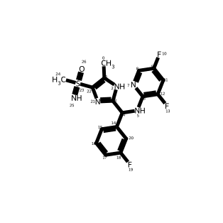 Cc1[nH]c(C(Nc2ncc(F)cc2F)c2cccc(F)c2)nc1S(C)(=N)=O